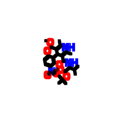 COC(=O)C1=C(C)NC(C)=C(C(=O)N[C@H](C(=O)OC(C)(C)C)C(C)C)C1c1cccc([N+](=O)[O-])c1